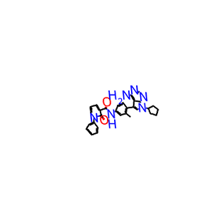 Cc1cc(NC(=O)c2cccn(-c3ccccc3)c2=O)ccc1-c1cn(C2CCCC2)c2ncnc(N)c12